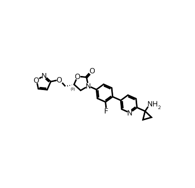 NC1(c2ccc(-c3ccc(N4C[C@H](COc5ccon5)OC4=O)cc3F)cn2)CC1